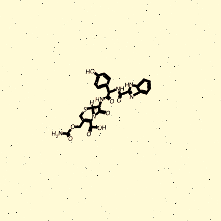 NC(=O)OCC1=C(C(=O)O)N2C(=O)C(NC(=O)C(NC(=O)c3nc4ccccc4[nH]3)c3ccc(O)cc3)[C@H]2SC1